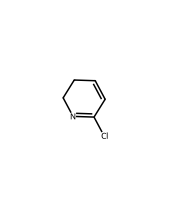 ClC1=NCCC=C1